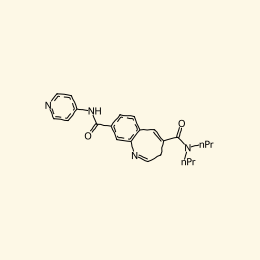 CCCN(CCC)C(=O)C1=Cc2ccc(C(=O)Nc3ccncc3)cc2N=CC1